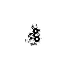 COc1cc(F)c2c(c1)[C@]1(CCN=C(N)S1)c1cc(N=[N+]=[N-])ccc1O2